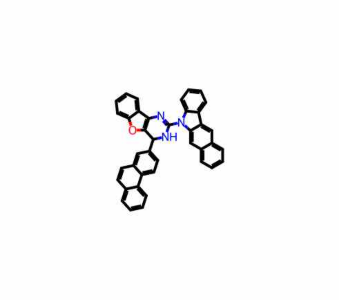 c1ccc2cc3c(cc2c1)c1ccccc1n3C1=Nc2c(oc3ccccc23)C(c2ccc3c(ccc4ccccc43)c2)N1